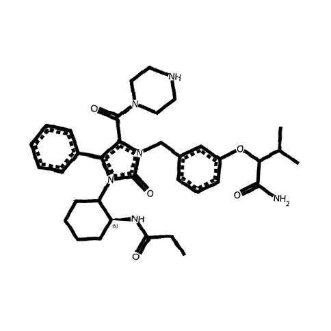 CCC(=O)N[C@H]1CCCCC1n1c(-c2ccccc2)c(C(=O)N2CCNCC2)n(Cc2cccc(OC(C(N)=O)C(C)C)c2)c1=O